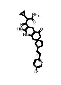 NC(=O)C(c1n[nH]c2c1CC1=C(CC3(CCC(/C=C/c4ccc(Br)cn4)C3)CC1=O)N2)C1CC1